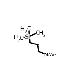 CNCCC[Si](C)(C)C